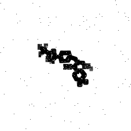 CCN(Cc1ccc(-c2nnc(C(F)(F)F)o2)cc1)C(O)N1CCS(=O)(=O)CC1